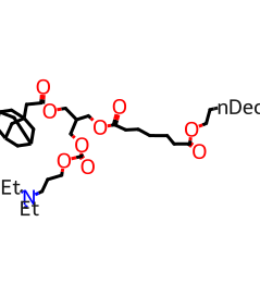 CCCCCCCCCCCCOC(=O)CCCCCC(=O)OCC(COC(=O)CC12CC3CC(CC(C3)C1)C2)COC(=O)OCCCN(CC)CC